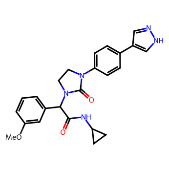 COc1cccc(C(C(=O)NC2CC2)N2CCN(c3ccc(-c4cn[nH]c4)cc3)C2=O)c1